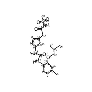 Cc1ccc(NC(=O)Nc2ncc(CC(=O)NS(C)(=O)=O)s2)c(OCC(C)C)c1